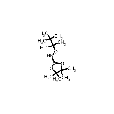 CC(C)(C)C(C)(C)OBB1OC(C)(C)C(C)(C)O1